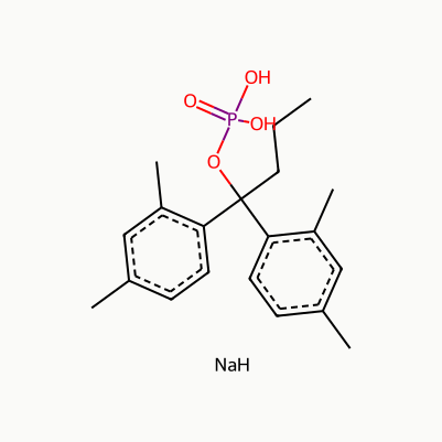 CCCC(OP(=O)(O)O)(c1ccc(C)cc1C)c1ccc(C)cc1C.[NaH]